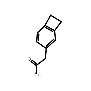 O=C(O)Cc1ccc2c(c1)CC2